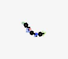 FC(F)(F)c1ccc(-n2cnc(-c3ccc(NC4=NC(c5ccc(Cl)cc5)CO4)cc3)n2)cc1